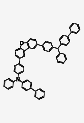 c1ccc(-c2ccc(C(c3ccccc3)c3ccc(-c4ccc5oc6ccc(-c7ccc(N(c8ccccc8)c8ccc(-c9ccccc9)cc8)cc7)cc6c5c4)cc3)cc2)cc1